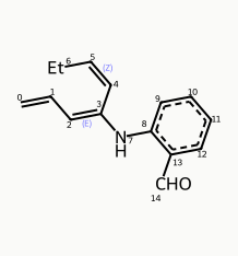 C=C/C=C(\C=C/CC)Nc1ccccc1C=O